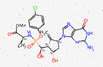 C=C1[C@@H]([C@@H](O)P(=O)(N[C@@H](C)C(=O)OC)Oc2ccc(Cl)cc2)[C@@H](O)C[C@@H]1n1cnc2c(=O)[nH]c(N)nc21